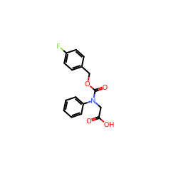 O=C(O)CN(C(=O)OCc1ccc(F)cc1)c1ccccc1